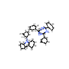 c1ccc(-c2nc(-c3ccccc3)nc(-c3cccc(-c4cccc(-n5c6ccccc6c6ccccc65)c4)c3)n2)cc1